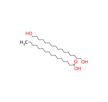 CCCCCCCCCCCCCCCC(=O)O.OCCCCCCCCCCCCCCCCO